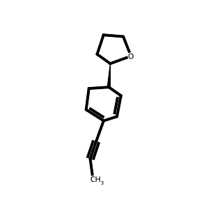 CC#CC1=CCC([C@H]2CCCO2)C=C1